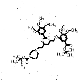 COc1cc(C(=O)OC(CCCOc2cc(C(=O)OC(C)(C)C)cc(OC)c2OC)CCN2CCCN(C(=O)OC(C)(C)C)CC2)cc(OC)c1OC